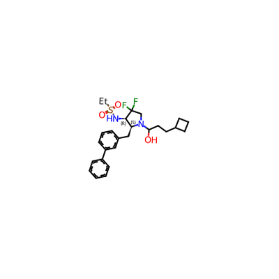 CCS(=O)(=O)N[C@@H]1[C@H](Cc2cccc(-c3ccccc3)c2)N(C(O)CCC2CCC2)CC1(F)F